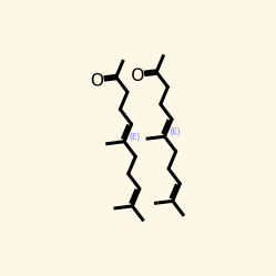 CC(=O)CC/C=C(\C)CCC=C(C)C.CC(=O)CC/C=C(\C)CCC=C(C)C